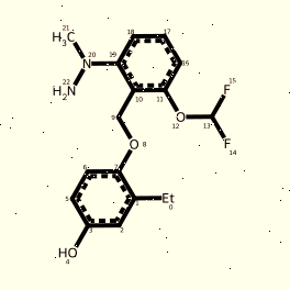 CCc1cc(O)ccc1OCc1c(OC(F)F)cccc1N(C)N